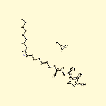 CC1CO1.CCCCCCCC/C=C\CCCCCCCC(=O)OC[C@@H](O)[C@H]1OC[C@H](O)[C@H]1O